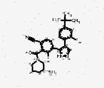 CC(C)(C)c1ccc(-c2cn[nH]c2-c2ccc(C#N)c(C(=O)N3CCC[C@@H](N)C3)c2F)c(F)c1